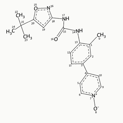 Cc1cc(-c2cc[n+]([O-])cc2)ccc1NC(=O)Nc1cc(C(C)(C)C)on1